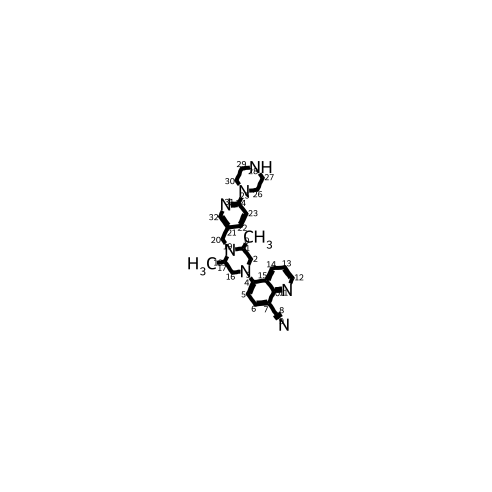 CC1CN(c2ccc(C#N)c3ncccc23)CC(C)N1Cc1ccc(N2CCNCC2)nc1